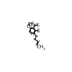 C/C=C/CCc1ccc(OCC)c(C(F)F)c1F